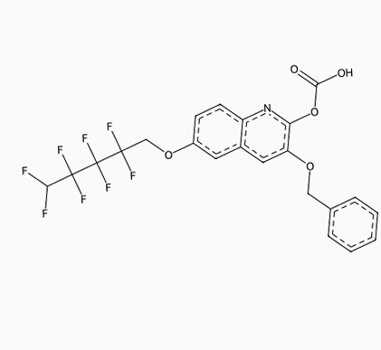 O=C(O)Oc1nc2ccc(OCC(F)(F)C(F)(F)C(F)(F)C(F)F)cc2cc1OCc1ccccc1